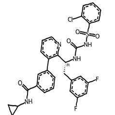 O=C(N[C@H](Cc1cc(F)cc(F)c1)c1ncccc1-c1cccc(C(=O)NC2CC2)c1)NS(=O)(=O)c1ccccc1Cl